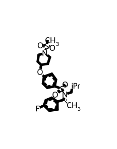 CC(C)CN([C@H](C)c1ccc(F)cc1)S(=O)(=O)c1ccc(OC2CCN(S(C)(=O)=O)CC2)cc1